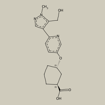 Cn1ncc(-c2ccc(O[C@H]3CCC[C@H](C(=O)O)C3)cn2)c1CO